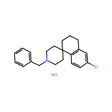 Cl.Clc1ccc2c(c1)CCCC21CCN(Cc2ccccc2)CC1